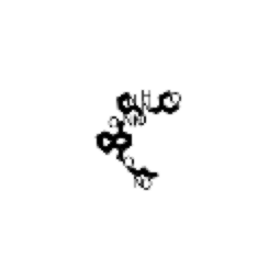 Cc1cc(COCc2ccc(C(=O)Nc3cccnc3C(=O)NCC3CCOCC3)c3ccccc23)no1